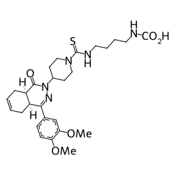 COc1ccc(C2=NN(C3CCN(C(=S)NCCCCNC(=O)O)CC3)C(=O)[C@@H]3CC=CC[C@H]23)cc1OC